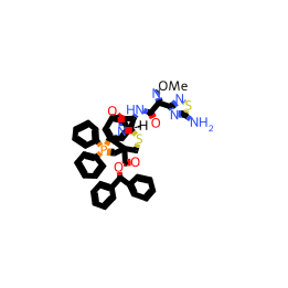 CON=C(C(=O)NC1C(=O)N2CC(C=P(c3ccccc3)(c3ccccc3)c3ccccc3)(C(=O)OC(c3ccccc3)c3ccccc3)CS[C@H]12)c1nsc(N)n1